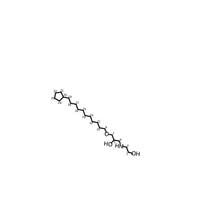 OCCNCC(O)COCCCCCCCCCCCC1CCCC1